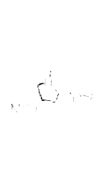 CO[C@H]1C[C@@H](COC(C)C)N(C)C1